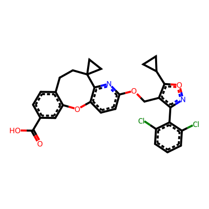 O=C(O)c1ccc2c(c1)Oc1ccc(OCc3c(-c4c(Cl)cccc4Cl)noc3C3CC3)nc1C1(CC2)CC1